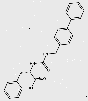 O=C(NCc1ccc(-c2ccccc2)cc1)N[C@@H](Cc1ccccc1)C(=O)O